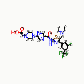 CCN(CC)Cc1sc(NC(=O)c2cnc(N3CCN(CC(=O)O)CC3)cn2)nc1-c1cc(F)cc(C(F)(F)F)c1